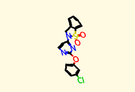 O=S1(=O)c2ccccc2CN1c1ccnc(Oc2cccc(Cl)c2)n1